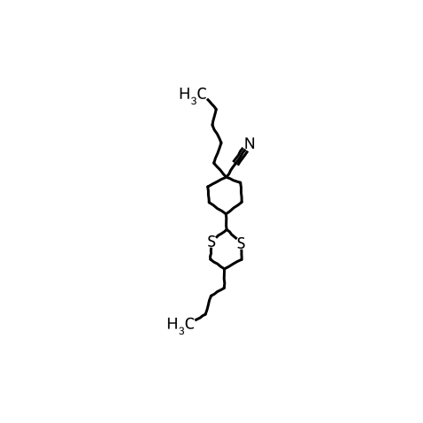 CCCCCC1(C#N)CCC(C2SCC(CCCC)CS2)CC1